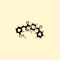 Cc1cccc(CC(N)C(=O)N2CCN(C(=O)c3ccccc3)CC2)c1